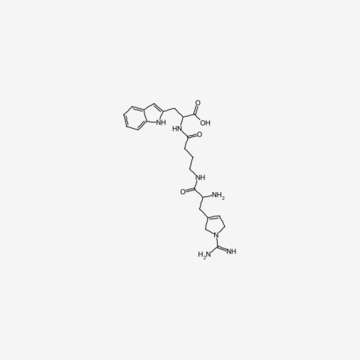 N=C(N)N1CC=C(CC(N)C(=O)NCCCC(=O)NC(Cc2cc3ccccc3[nH]2)C(=O)O)C1